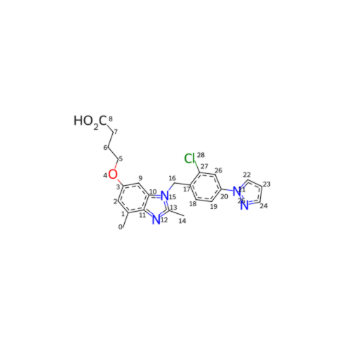 Cc1cc(OCCCC(=O)O)cc2c1nc(C)n2Cc1ccc(-n2cccn2)cc1Cl